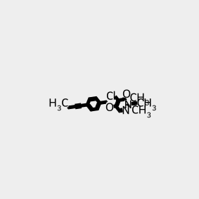 CCC#Cc1ccc(COc2cnn(C(C)(C)C)c(=O)c2Cl)cc1